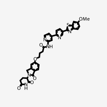 COc1ccc2nc(-c3ccc(-c4ccnc(NC(=O)CCCOc5ccc6c(c5)CN(C5CCC(=O)NC5=O)C6=O)c4)nc3)sc2c1